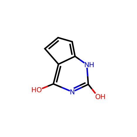 Oc1nc(O)c2cccc-2[nH]1